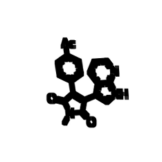 CC(=O)c1ccc(C2=C(c3c[nH]c4ncccc34)C(=O)N(C)C2=O)cc1